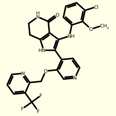 COc1c(Cl)cccc1Nc1c(-c2ccncc2OCc2ncccc2C(F)(F)F)[nH]c2c1C(=O)NCC2